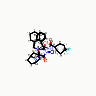 CN1C(=O)N(CC2CCCCC2)C2(CC3CCC(C2)N3CC[C@H](NC(=O)C2CCC(F)(F)CC2)c2ccccc2)C1=O